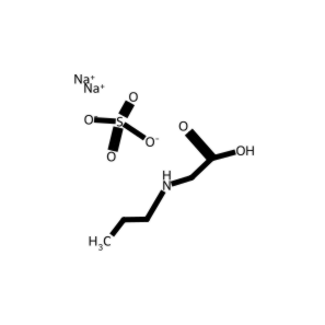 CCCNCC(=O)O.O=S(=O)([O-])[O-].[Na+].[Na+]